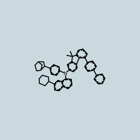 CC1(C)c2cc(N(c3ccc(C4CC5CCC4C5)cc3)c3cccc4ccc(C5CCCCC5)cc34)ccc2-c2c(-c3ccc(-c4ccccc4)cc3)cccc21